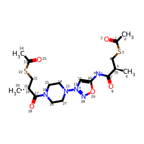 CC(=O)SC[C@@H](C)C(=O)[N-]c1c[n+](N2CCN(C(=O)[C@H](C)CSC(C)=O)CC2)no1